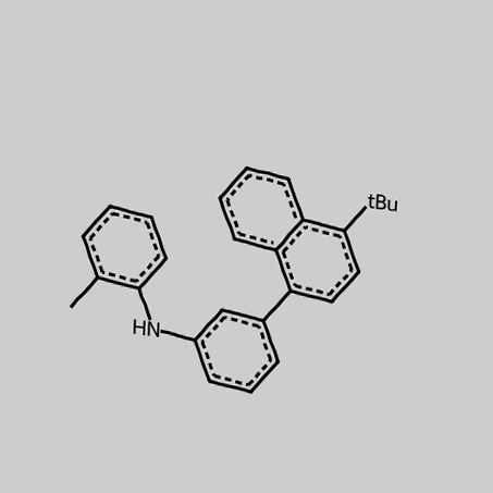 Cc1ccccc1Nc1cccc(-c2ccc(C(C)(C)C)c3ccccc23)c1